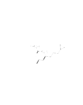 C=C/C=C(/CCCC1CC1)NC(=S)NC